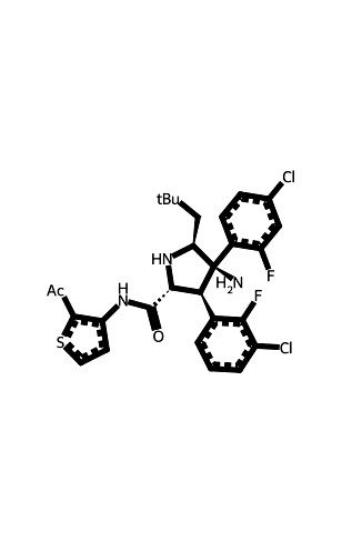 CC(=O)c1sccc1NC(=O)[C@@H]1N[C@@H](CC(C)(C)C)[C@](N)(c2ccc(Cl)cc2F)[C@H]1c1cccc(Cl)c1F